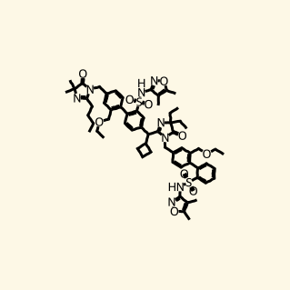 CCCCC1=NC(C)(C)C(=O)N1Cc1ccc(-c2ccc(C(C3=NC(CC)(CC)C(=O)N3Cc3ccc(-c4ccccc4S(=O)(=O)Nc4noc(C)c4C)c(COCC)c3)C3CCC3)cc2S(=O)(=O)Nc2noc(C)c2C)c(COCC)c1